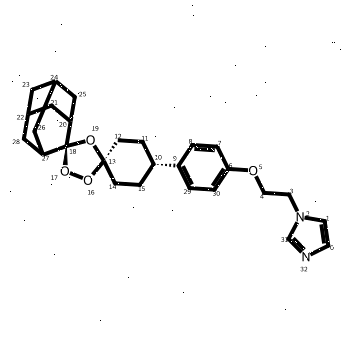 c1cn(CCOc2ccc([C@H]3CC[C@]4(CC3)OO[C@]3(O4)C4CC5CC(C4)CC3C5)cc2)cn1